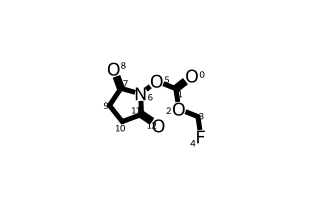 O=C(OCF)ON1C(=O)CCC1=O